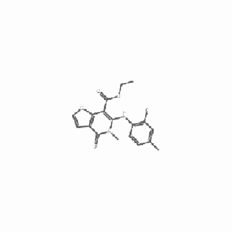 CCOC(=O)c1c(Nc2ccc(C)cc2Cl)n(C)c(=O)c2ccoc12